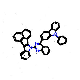 c1ccc(-n2c3ccccc3c3ccc(-c4nc(-n5c6c(c7ccccc75)-c5cccc7cccc-6c57)nc5ccccc45)cc32)cc1